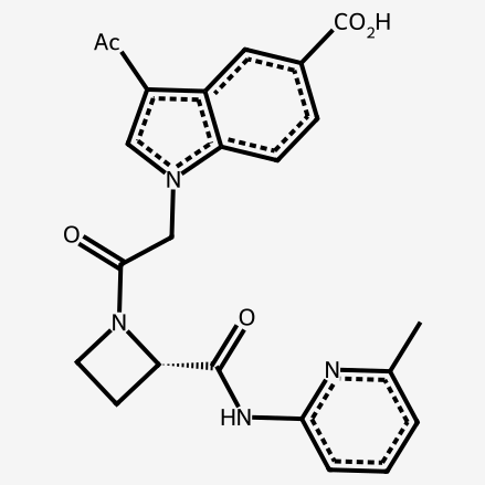 CC(=O)c1cn(CC(=O)N2CC[C@H]2C(=O)Nc2cccc(C)n2)c2ccc(C(=O)O)cc12